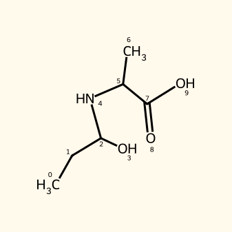 CCC(O)NC(C)C(=O)O